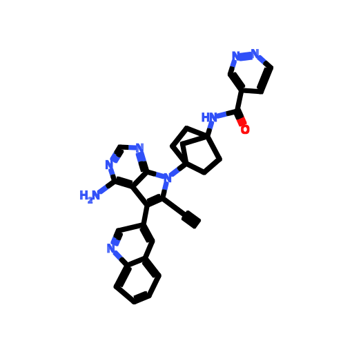 C#Cc1c(-c2cnc3ccccc3c2)c2c(N)ncnc2n1C12CCC(NC(=O)c3ccnnc3)(CC1)C2